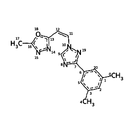 Cc1cc(C)cc(-c2ncn(/C=C\c3nnc(C)o3)n2)c1